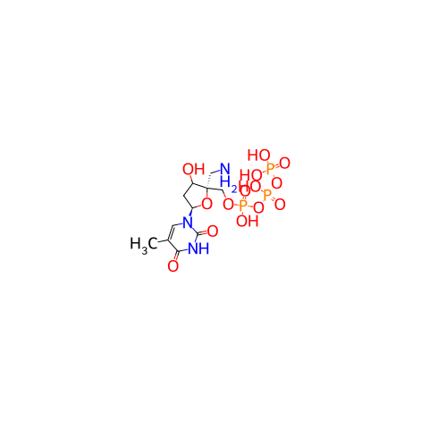 Cc1cn([C@H]2CC(O)[C@@](CN)(COP(=O)(O)OP(=O)(O)OP(=O)(O)O)O2)c(=O)[nH]c1=O